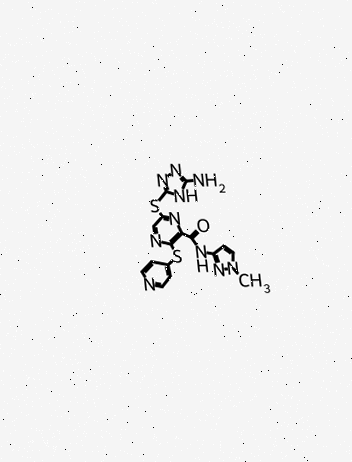 Cn1ccc(NC(=O)c2nc(Sc3nnc(N)[nH]3)cnc2Sc2ccncc2)n1